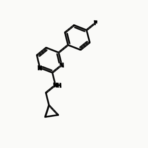 Fc1ccc(-c2ccnc(NCC3CC3)n2)cc1